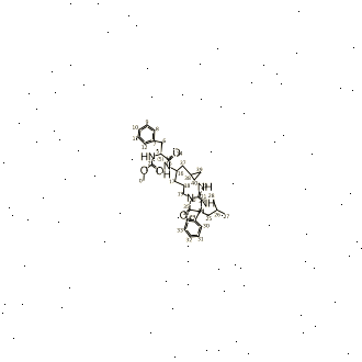 COC(=O)N[C@@H](Cc1ccccc1)C(=O)NC(CCCN1C(=N)N[C@](CC(C)C)(c2ccccc2)C1=O)CC1CC1